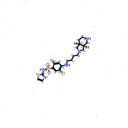 O=S(=O)(Nc1nccs1)c1cc(Cl)c(NCCCCN2C[C@H]3CNCC[C@H]3C2)cc1F